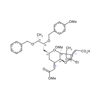 CCC(=O)O[C@H]1/C(=C/C(=O)OC)C[C@@H](C[C@@H](OCc2ccc(OC)cc2)[C@@H](C)OCc2ccccc2)O[C@@]1(OC)C(C)(C)/C=C/C(=O)O